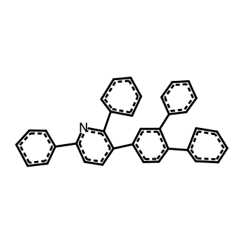 c1ccc(-c2ccc(-c3ccc(-c4ccccc4)c(-c4ccccc4)c3)c(-c3ccccc3)n2)cc1